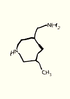 CC1CNCC(CN)C1